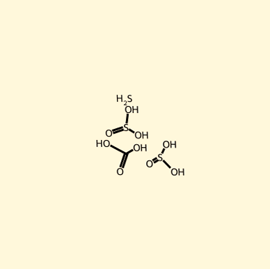 O=C(O)O.O=S(O)O.O=S(O)O.S